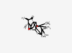 C=C1C(=O)[C@@]23C4CC[C@@H]1[C@@H]2OC1O[C@@]3(O)[C@@H](O)[C@@H]2C(C)(C)CCC[C@@]142